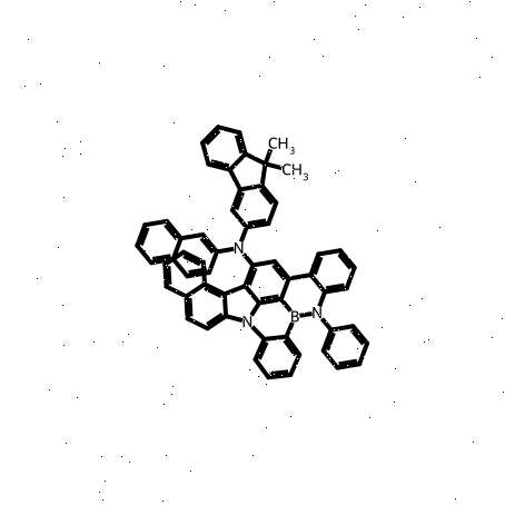 CC1(C)c2ccccc2-c2cc(N(c3ccc4ccccc4c3)c3cc4c5c6c3c3c7ccccc7ccc3n6-c3ccccc3B5N(c3ccccc3)c3ccccc3-4)ccc21